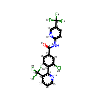 O=C(Nc1ccc(C(F)(F)F)cn1)c1ccc(-c2ncccc2C(F)(F)F)c(Cl)c1